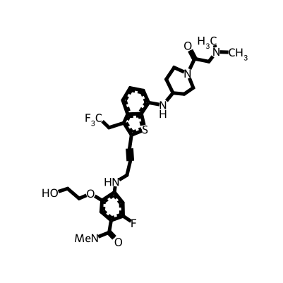 CNC(=O)c1cc(OCCO)c(NCC#Cc2sc3c(NC4CCN(C(=O)CN(C)C)CC4)cccc3c2CC(F)(F)F)cc1F